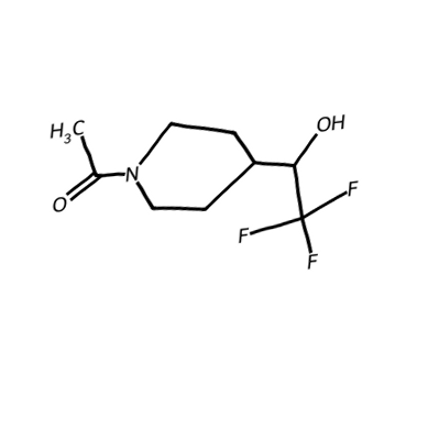 CC(=O)N1CCC(C(O)C(F)(F)F)CC1